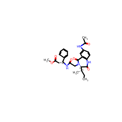 CC[C@H](C)[C@H]1C(=O)Nc2ccc(NC(C)=O)cc2C(=O)N1CC(=O)N[C@H](CC(=O)OC)c1ccccc1